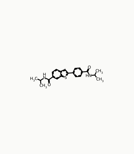 CC(C)NC(=O)c1ccc(-c2[c]c3ccc(C(=O)NC(C)C)cc3s2)cc1